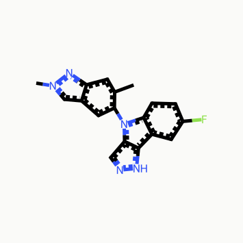 Cc1cc2nn(C)cc2cc1-n1c2ccc(F)cc2c2[nH]ncc21